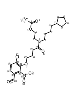 CC(=O)OCCN(CCCCC1CCCC1)C(=O)CCCOc1c(Cl)ccc(C=O)c1[N+](=O)[O-]